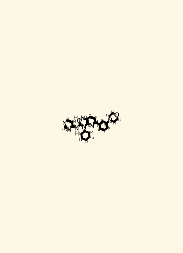 Nc1ccc(-c2cccc(N3CCOCC3)c2)nc1N(C(=O)Nc1ccncn1)C1CCCCC1